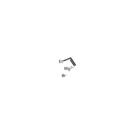 C=CC[CH2-].[Br-].[Mg+2]